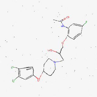 CC(=O)Nc1cc(F)ccc1OCC(O)CN1CCC(Oc2ccc(Cl)c(Cl)c2)CC1